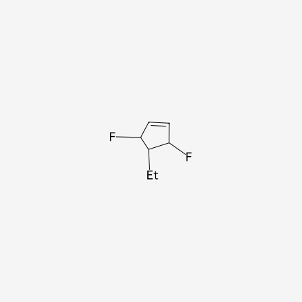 CCC1C(F)C=CC1F